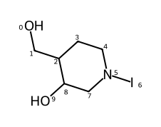 OCC1CCN(I)CC1O